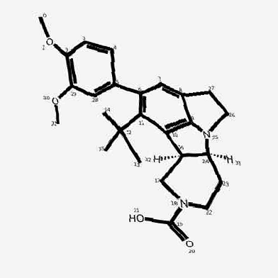 COc1ccc(-c2cc3c4c(c2C(C)(C)C)[C@@H]2CN(C(=O)O)CC[C@@H]2N4CC3)cc1OC